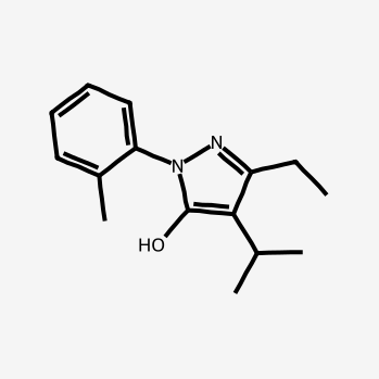 CCc1nn(-c2ccccc2C)c(O)c1C(C)C